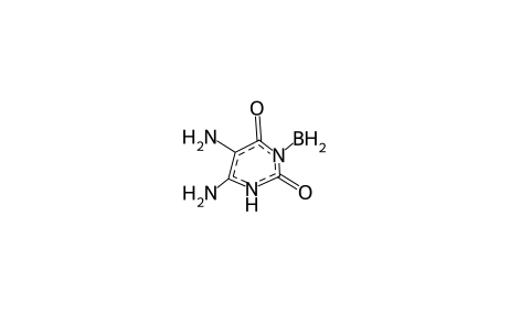 Bn1c(=O)[nH]c(N)c(N)c1=O